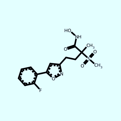 CC(CCc1cc(-c2ccccc2F)on1)(C(=O)NO)S(C)(=O)=O